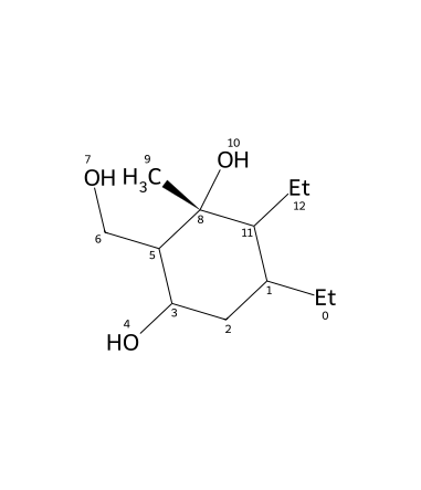 CCC1CC(O)C(CO)[C@](C)(O)C1CC